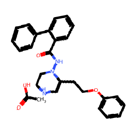 CC(=O)O.O=C(NN1CCNCC1CCOc1ccccc1)c1ccccc1-c1ccccc1